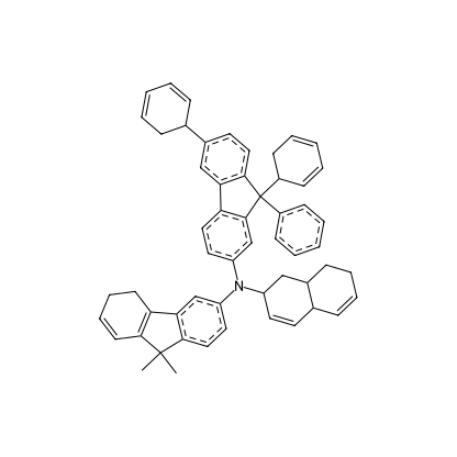 CC1(C)C2=C(CCC=C2)c2cc(N(c3ccc4c(c3)C(c3ccccc3)(C3C=CC=CC3)c3ccc(C5C=CC=CC5)cc3-4)C3C=CC4C=CCCC4C3)ccc21